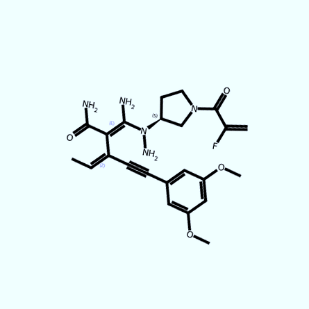 C=C(F)C(=O)N1CC[C@H](N(N)/C(N)=C(C(N)=O)\C(C#Cc2cc(OC)cc(OC)c2)=C/C)C1